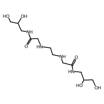 O=C(CNCCNCC(=O)NCC(O)CO)NCC(O)CO